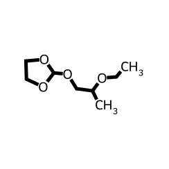 CCOC(C)COC1OCCO1